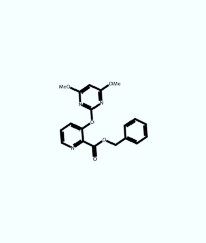 COc1cc(OC)nc(Oc2cccnc2C(=O)OCc2ccccc2)n1